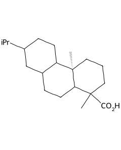 CC(C)C1CCC2C(CCC3C(C)(C(=O)O)CCC[C@]23C)C1